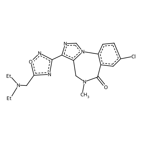 CCN(CC)Cc1nc(-c2ncn3c2CN(C)C(=O)c2cc(Cl)ccc2-3)no1